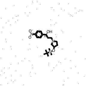 CC(C)(C)[Si](C)(C)OC1CCN(CC[C@@H](O)c2ccc([N+](=O)[O-])cc2)C1